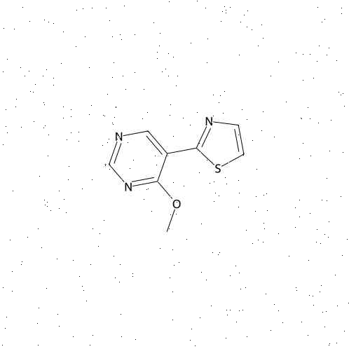 COc1n[c]ncc1-c1nccs1